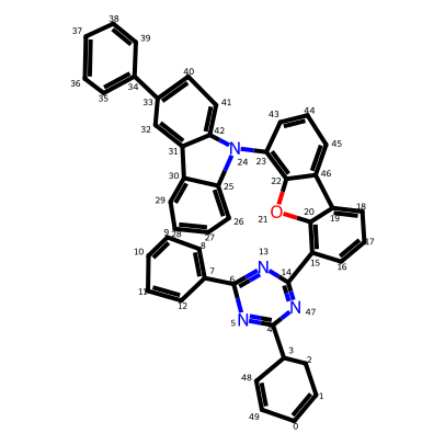 C1=CCC(c2nc(-c3ccccc3)nc(-c3cccc4c3oc3c(-n5c6ccccc6c6cc(-c7ccccc7)ccc65)cccc34)n2)C=C1